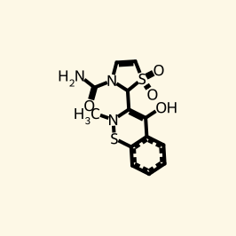 CN1Sc2ccccc2C(O)=C1C1N(C(N)=O)C=CS1(=O)=O